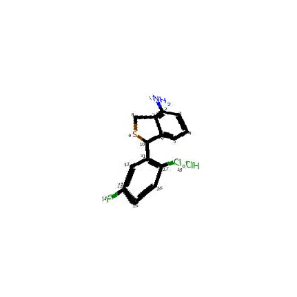 Cl.Nc1cccc2c1CSC2c1cc(F)ccc1Cl